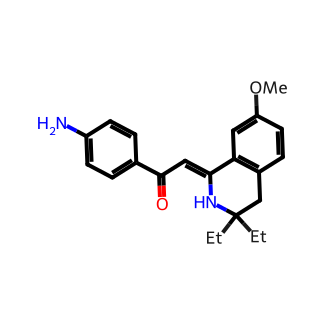 CCC1(CC)Cc2ccc(OC)cc2/C(=C/C(=O)c2ccc(N)cc2)N1